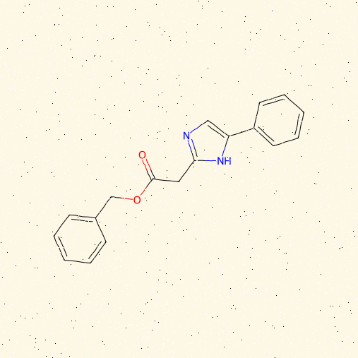 O=C(Cc1ncc(-c2ccccc2)[nH]1)OCc1ccccc1